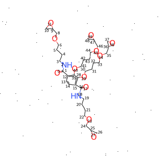 O=C(NCCCCOCC1CO1)c1ccc(C(=O)NCCCCOCC2CO2)c(OCCCCOCC2CO2)c1OCCCCOCC1CO1